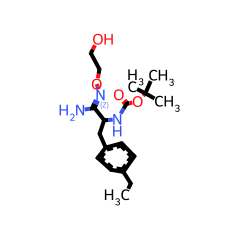 CCc1ccc(CC(NC(=O)OC(C)(C)C)/C(N)=N/OCCO)cc1